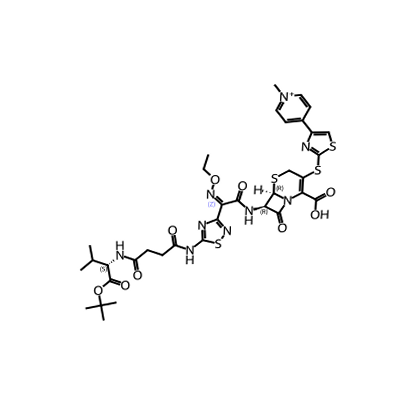 CCO/N=C(\C(=O)N[C@@H]1C(=O)N2C(C(=O)O)=C(Sc3nc(-c4cc[n+](C)cc4)cs3)CS[C@H]12)c1nsc(NC(=O)CCC(=O)N[C@H](C(=O)OC(C)(C)C)C(C)C)n1